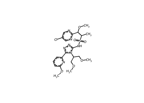 COCC(COC)n1c(NS(=O)(=O)C(C)C(OC)c2ncc(Cl)cn2)nnc1-c1cccc(OC)n1